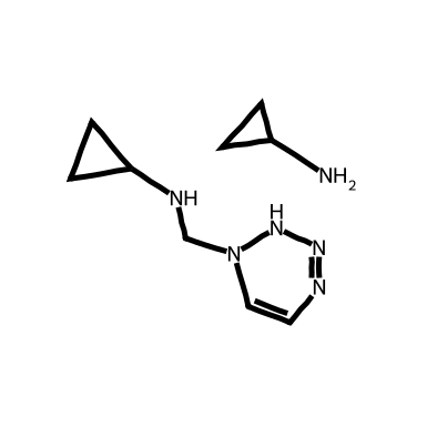 C1=CN(CNC2CC2)NN=N1.NC1CC1